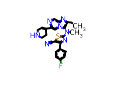 CCc1nc2cnc(C3=CCNCC3)cn2c1N(C)c1nc(-c2ccc(F)cc2)c(C#N)s1